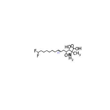 CC(N)(C(=O)O)C(O)C(O)C/C=C/CCCCCCC(F)F